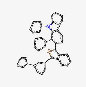 c1ccc(-c2cccc(-c3sc(-c4ccc5c6ccccc6n(-c6ccccc6)c5c4-c4ccccc4)c4ccccc34)c2)cc1